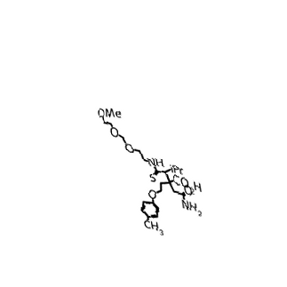 COCCOCOCCNC(=S)C(C(C)C)C(CCOc1ccc(C)cc1)(CC(N)=O)C(=O)O